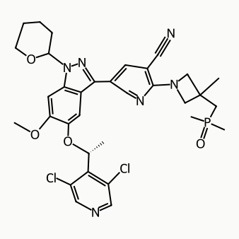 COc1cc2c(cc1O[C@H](C)c1c(Cl)cncc1Cl)c(-c1cnc(N3CC(C)(CP(C)(C)=O)C3)c(C#N)c1)nn2C1CCCCO1